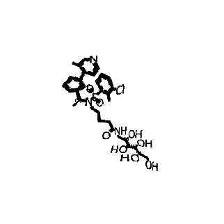 Cc1cnccc1-c1cccc([C@H](C)N(CCCCC(=O)NC[C@@H](O)[C@H](O)[C@@H](O)[C@@H](O)CO)S(=O)(=O)c2cccc(Cl)c2C)c1